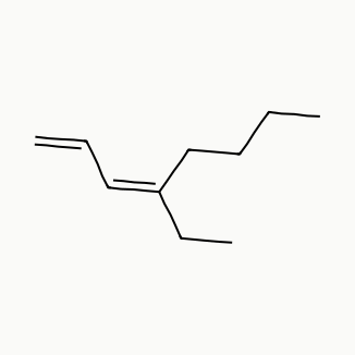 C=CC=C(CC)CCCC